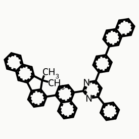 CC1(C)c2cc3ccccc3cc2-c2cccc(-c3ccc(-c4nc(-c5ccccc5)cc(-c5ccc(-c6ccc7ccccc7c6)cc5)n4)c4ccccc34)c21